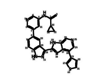 C=C(Nc1cncc(-c2ccc3[nH]nc(-c4bc5c(-c6ccsc6)cncc5[nH]4)c3c2)c1)C1CC1